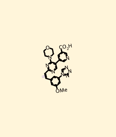 COc1cc(/C=C\c2ncc(-c3cncc(C(=O)O)c3)c(N3CCOCC3)n2)cc(-n2cnnn2)c1